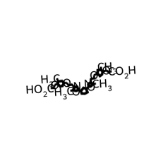 Cc1cc(OCCc2nc(-c3cccc(-c4nc(CCOc5ccc(OCC(=O)O)c(C)c5)c(C)o4)c3)oc2C)ccc1OCC(=O)O